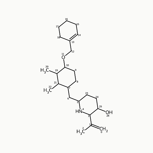 C=C(C)C1NC(CC2CCC(OCC3=CCCCC3)C(C)C2C)CCC1O